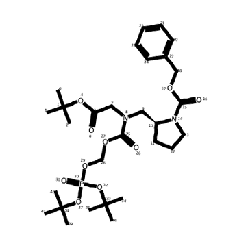 CC(C)(C)OC(=O)CN(C[C@@H]1CCCN1C(=O)OCc1ccccc1)C(=O)OCOP(=O)(OC(C)(C)C)OC(C)(C)C